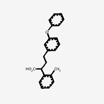 Cc1ccccc1C(CCc1cccc(Oc2ccccc2)c1)C(=O)O